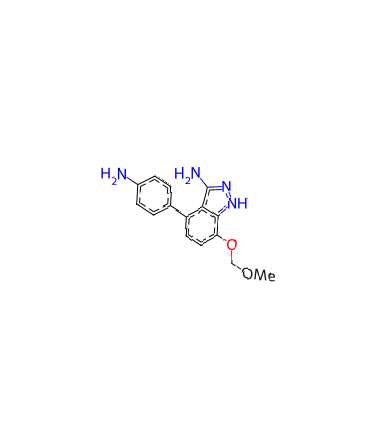 COCOc1ccc(-c2ccc(N)cc2)c2c(N)n[nH]c12